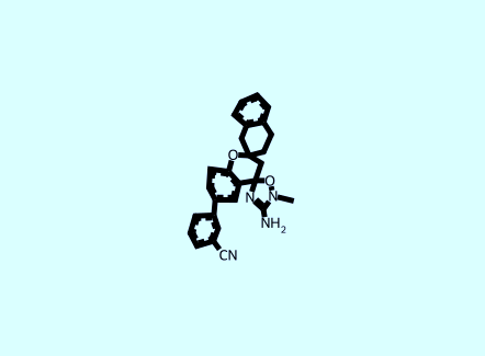 CN1OC2(CC3(CCc4ccccc4C3)Oc3ccc(-c4cccc(C#N)c4)cc32)N=C1N